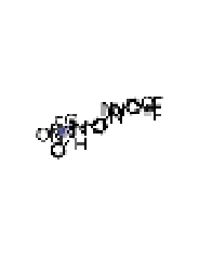 Cc1ccccc1N1C(=O)CS/C1=N\C(=O)NCc1cccc(-c2ncn(-c3ccc(OC(F)(F)F)cc3)n2)c1